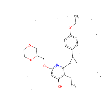 CCOc1ccc(C2CC2c2nc(OCC3COCCO3)cc(O)c2CC)cc1